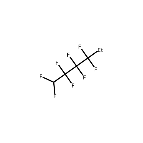 [CH2]CC(F)(F)C(F)(F)C(F)(F)C(F)F